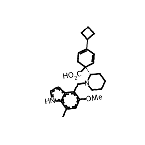 COc1cc(C)c2[nH]ccc2c1CN1CCCC[C@H]1C1(C(=O)O)C=CC(C2CCC2)=CC1